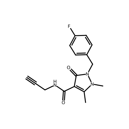 C#CCNC(=O)c1c(C)n(C)n(Cc2ccc(F)cc2)c1=O